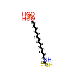 O=P(O)(O)OCCCCCCCCCCCCCCCNC(=S)S